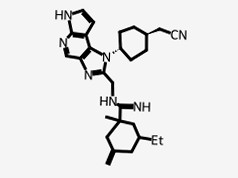 C=C1CC(CC)CC(C)(C(=N)NCc2nc3cnc4[nH]ccc4c3n2[C@H]2CC[C@H](CC#N)CC2)C1